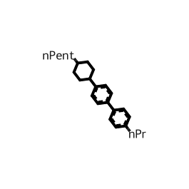 CCCCCC1CCC(c2ccc(-c3ccc(CCC)cc3)cc2)CC1